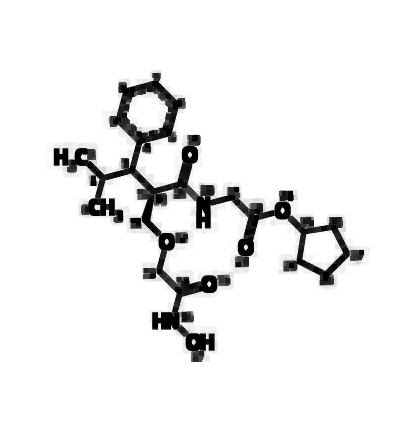 CC(C)C(c1ccccc1)[C@H](COCC(=O)NO)C(=O)NCC(=O)OC1CCCC1